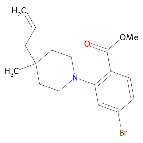 C=CCC1(C)CCN(c2cc(Br)ccc2C(=O)OC)CC1